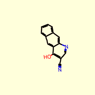 N#Cc1cnc2cc3ccccc3cc2c1O